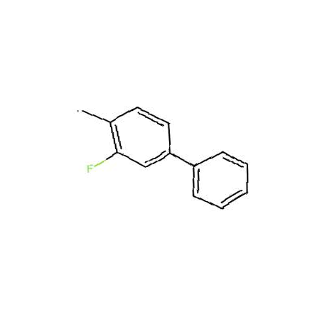 [CH2]c1ccc(-c2ccccc2)cc1F